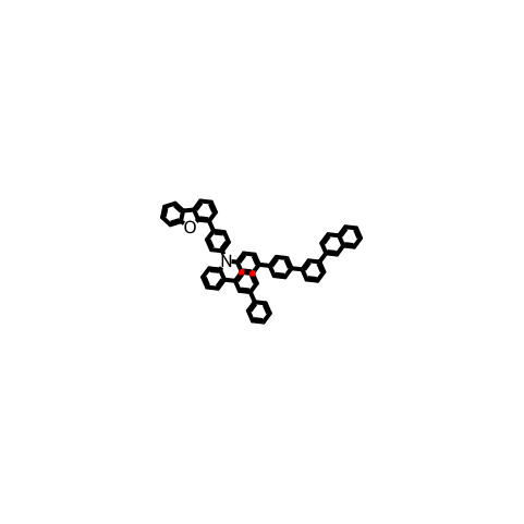 c1ccc(-c2cccc(-c3ccccc3N(c3ccc(-c4ccc(-c5cccc(-c6ccc7ccccc7c6)c5)cc4)cc3)c3ccc(-c4cccc5c4oc4ccccc45)cc3)c2)cc1